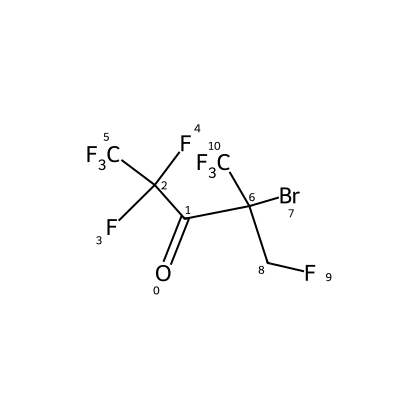 O=C(C(F)(F)C(F)(F)F)C(Br)(CF)C(F)(F)F